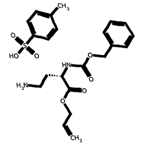 C=CCOC(=O)[C@H](CCN)NC(=O)OCc1ccccc1.Cc1ccc(S(=O)(=O)O)cc1